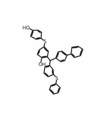 Oc1ccc(Sc2ccc(O)c(C(c3ccc(-c4ccccc4)cc3)c3cccc(Sc4ccccc4)c3)c2)cc1